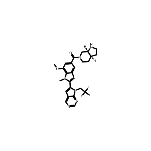 COc1cc(C(=O)N2CC[C@H]3CCN[C@H]3C2)cc2nc(-c3cc4cncnc4n3CC(F)(F)F)n(C)c12